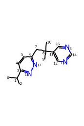 CC(C)c1ccc(CC(C)(C)c2cncnc2)nn1